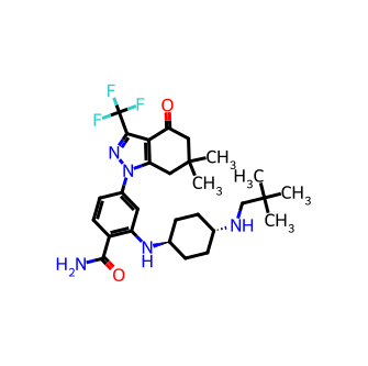 CC(C)(C)CN[C@H]1CC[C@H](Nc2cc(-n3nc(C(F)(F)F)c4c3CC(C)(C)CC4=O)ccc2C(N)=O)CC1